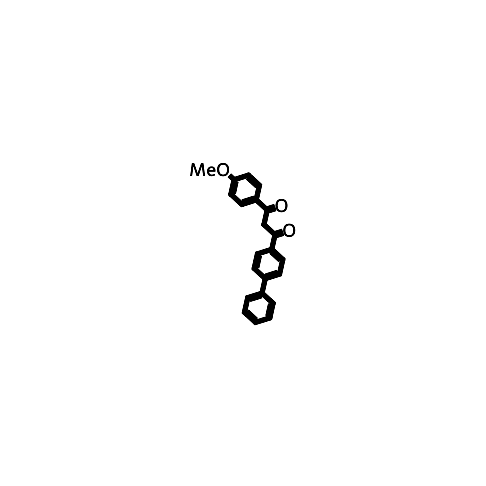 COc1ccc(C(=O)CC(=O)c2ccc(-c3ccccc3)cc2)cc1